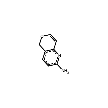 Nc1ccc2c(n1)C=COC2